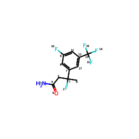 CC(F)(CC(N)=O)c1cc(F)cc(C(F)(F)F)c1